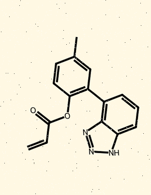 C=CC(=O)Oc1ccc(C)cc1-c1cccc2[nH]nnc12